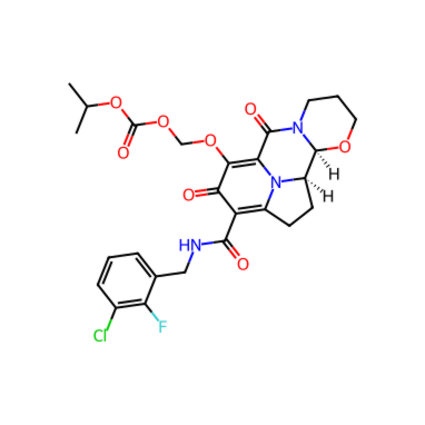 CC(C)OC(=O)OCOc1c2n3c(c(C(=O)NCc4cccc(Cl)c4F)c1=O)CC[C@@H]3[C@@H]1OCCCN1C2=O